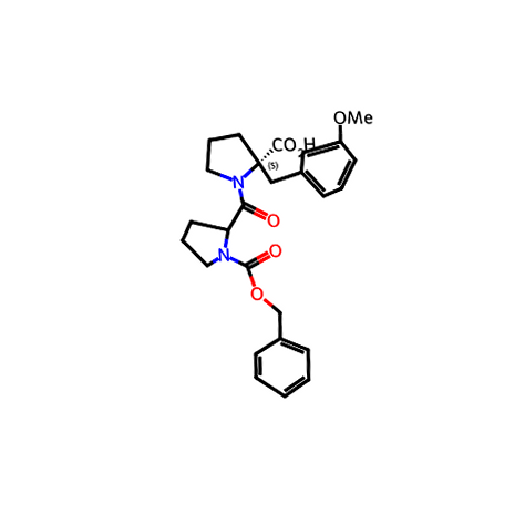 COc1cccc(C[C@]2(C(=O)O)CCCN2C(=O)C2CCCN2C(=O)OCc2ccccc2)c1